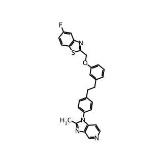 Cc1nc2cnccc2n1-c1ccc(CCc2cccc(OCc3nc4cc(F)ccc4s3)c2)cc1